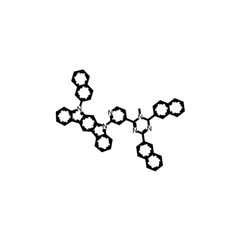 CN1C(c2ccnc(-n3c4ccccc4c4cc5c6ccccc6n(-c6ccc7ccccc7c6)c5cc43)c2)=NC(c2ccc3ccccc3c2)=NC1c1ccc2ccccc2c1